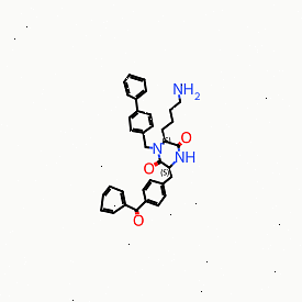 NCCCC[C@H]1C(=O)N[C@@H](Cc2ccc(C(=O)c3ccccc3)cc2)C(=O)N1Cc1ccc(-c2ccccc2)cc1